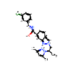 Cc1cc(C)n(C(C)Cn2cc3ccc(C(=O)NCc4cccc(Cl)c4)cc3n2)n1